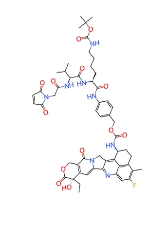 CC[C@@]1(O)C(=O)OCc2c1cc1n(c2=O)Cc2c-1nc1cc(F)c(C)c3c1c2[C@@H](NC(=O)OCc1ccc(NC(=O)[C@H](CCCCNC(=O)OC(C)(C)C)NC(=O)[C@@H](NC(=O)CN2C(=O)C=CC2=O)C(C)C)cc1)CC3